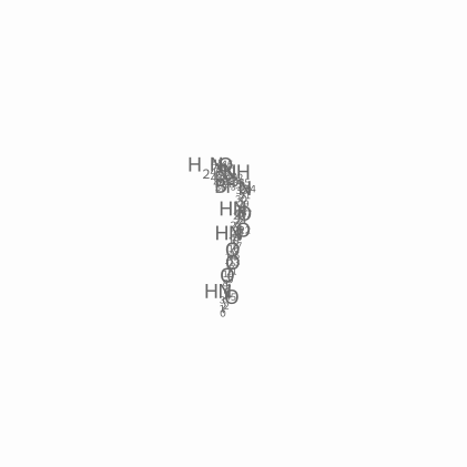 CCCCC(=O)NCCCOCCOCCOCCCNC(=O)CCCC(=O)NCCCCN(C)CC1CCc2c([nH]c3c(C(N)=O)ccc(Br)c23)C1